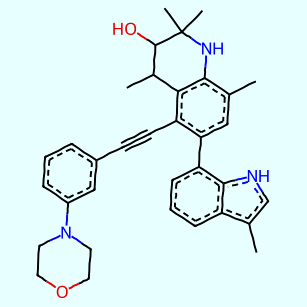 Cc1cc(-c2cccc3c(C)c[nH]c23)c(C#Cc2cccc(N3CCOCC3)c2)c2c1NC(C)(C)C(O)C2C